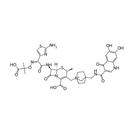 C[C@@H]1S[C@@H]2[C@H](NC(=O)/C(=N\OC(C)(C)C(=O)O)c3csc(N)n3)C(=O)N2C(C(=O)O)=C1C[N+]12CCC(CNC(=O)c3c[nH]c4cc(O)c(O)cc4c3=O)(CC1)C2